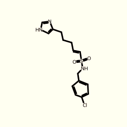 O=S(=O)(C=CCCCc1c[nH]cn1)NCc1ccc(Cl)cc1